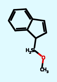 CO[SiH2]C1C=Cc2ccccc21